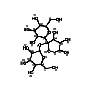 OCC1OC(OC2(C3OC(CO)C(O)C(O)C3O)OCC(O)C(O)C2O)C(O)C(O)C1O